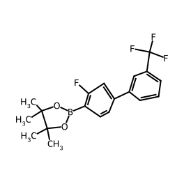 CC1(C)OB(c2ccc(-c3cccc(C(F)(F)F)c3)cc2F)OC1(C)C